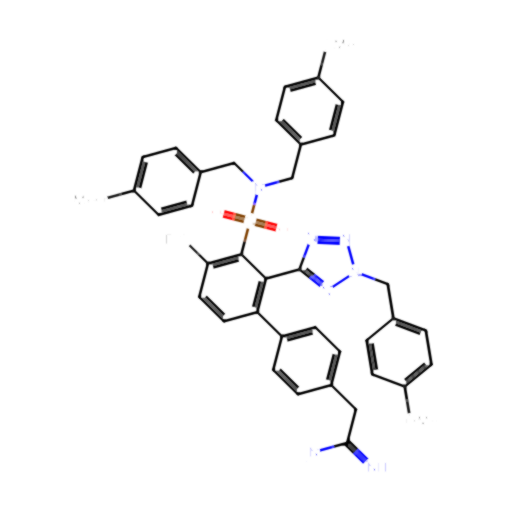 COc1ccc(CN(Cc2ccc(OC)cc2)S(=O)(=O)c2c(C(F)(F)F)ccc(-c3ccc(CC(=N)N)cc3)c2-c2nnn(Cc3ccc(OC)cc3)n2)cc1